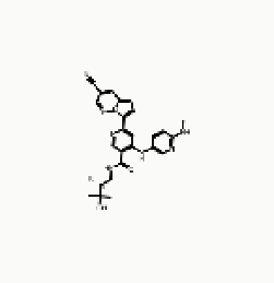 CNc1ccc(Nc2cc(-c3ccc4cc(C#N)cnn34)ncc2C(=O)NC[C@@H](F)C(C)(C)O)cn1